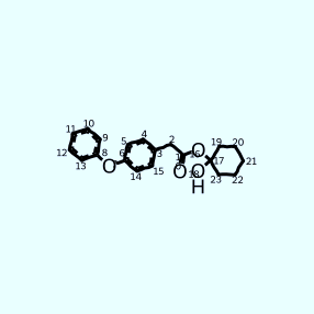 O=C(Cc1ccc(Oc2ccccc2)cc1)OC1(O)CCCCC1